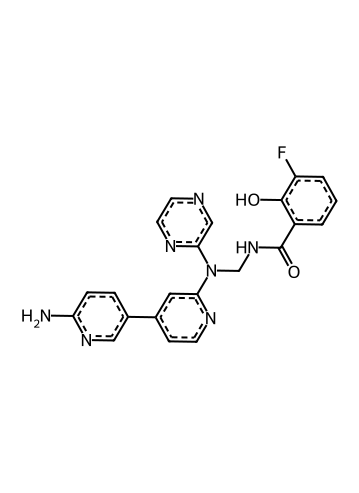 Nc1ccc(-c2ccnc(N(CNC(=O)c3cccc(F)c3O)c3cnccn3)c2)cn1